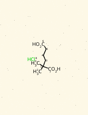 CC(C)(CCCC(=O)O)C(=O)O.Cl